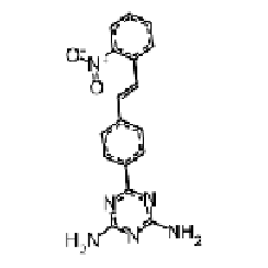 Nc1nc(N)nc(-c2ccc(C=Cc3ccccc3[N+](=O)[O-])cc2)n1